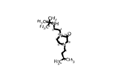 CC(C)CCN1CCN(CCNC(C)(C)C)C(=O)C1